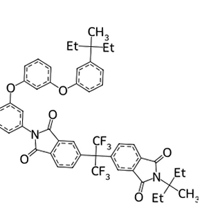 CCC(C)(CC)c1cccc(Oc2cccc(Oc3cccc(N4C(=O)c5ccc(C(c6ccc7c(c6)C(=O)N(C(C)(CC)CC)C7=O)(C(F)(F)F)C(F)(F)F)cc5C4=O)c3)c2)c1